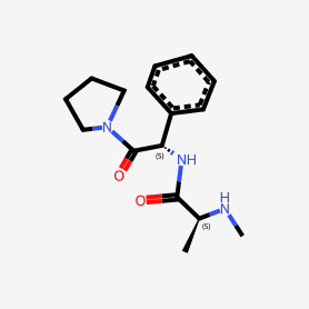 CN[C@@H](C)C(=O)N[C@H](C(=O)N1CCCC1)c1ccccc1